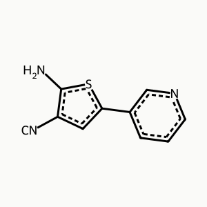 [C-]#[N+]c1cc(-c2cccnc2)sc1N